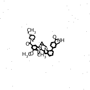 CC[C@@H]1CCCN(C(=O)c2cc(OC)c3c(c2)nc(-c2cc4cccc(-c5ccc6c(c5)CNC6=O)c4n2CC2CC2)n3C)C1